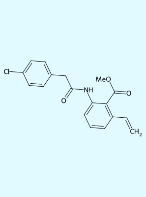 C=Cc1cccc(NC(=O)Cc2ccc(Cl)cc2)c1C(=O)OC